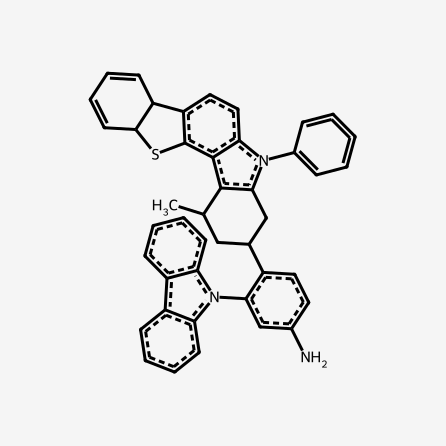 CC1CC(c2ccc(N)cc2-n2c3ccccc3c3ccccc32)Cc2c1c1c3c(ccc1n2C1=CC=C=C=C1)C1C=CC=CC1S3